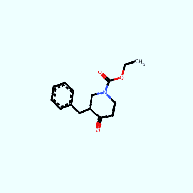 CCOC(=O)N1CCC(=O)C(Cc2ccccc2)C1